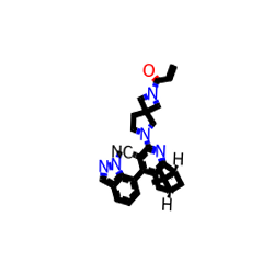 C=CC(=O)N1CC2(CCN(c3nc4c(c(-c5cccc6cnn(C)c56)c3C#N)C[C@H]3C[C@@H]4C3(C)C)C2)C1